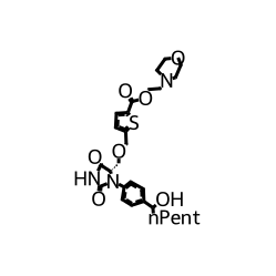 CCCCCC(O)c1ccc(N2C(=O)NC(=O)[C@@H]2COCc2ccc(C(=O)OCCN3CCOCC3)s2)cc1